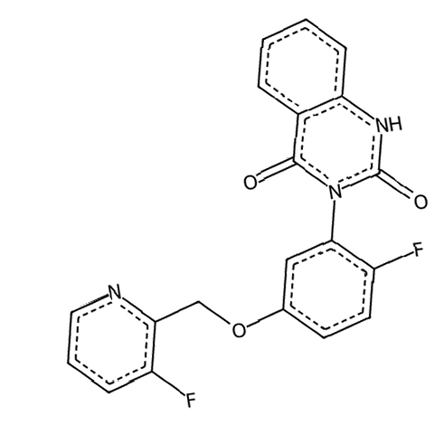 O=c1[nH]c2ccccc2c(=O)n1-c1cc(OCc2ncccc2F)ccc1F